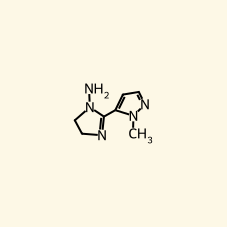 Cn1nccc1C1=NCCN1N